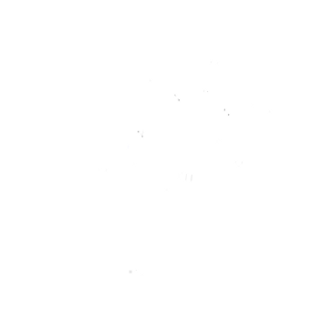 CCCCc1cccc(O/C(C)=N/c2c(C)c(=O)n(C)c(=O)n2C)c1